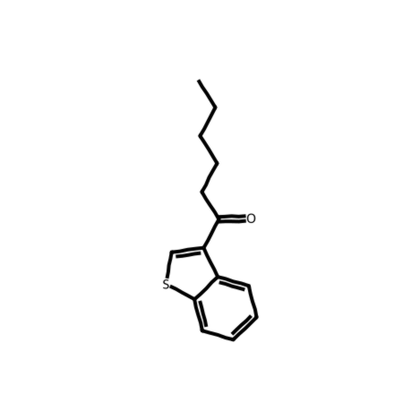 CCCCCC(=O)c1csc2ccccc12